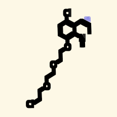 C=Nc1c(OCCOCCOCCCl)ccc(Cl)c1/C=C\C